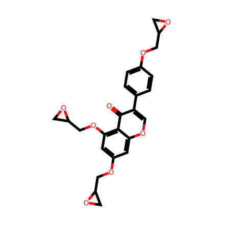 O=c1c(-c2ccc(OCC3CO3)cc2)coc2cc(OCC3CO3)cc(OCC3CO3)c12